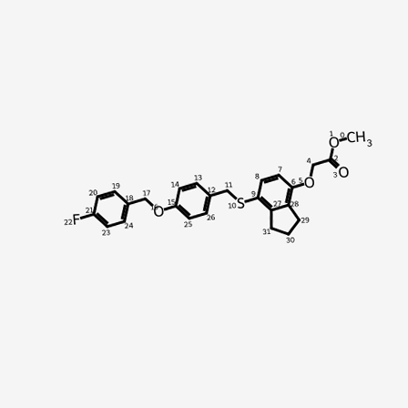 COC(=O)COc1ccc(SCc2ccc(OCc3ccc(F)cc3)cc2)c2c1CCC2